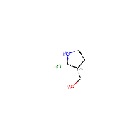 Cl.OC[C@H]1CCNC1